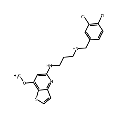 COc1cc(NCCCNCc2ccc(Cl)c(Cl)c2)nc2ccsc12